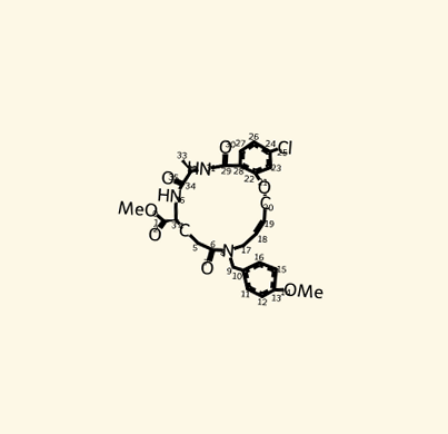 COC(=O)[C@@H]1CCC(=O)N(Cc2ccc(OC)cc2)C/C=C\COc2cc(Cl)ccc2C(=O)N[C@H](C)C(=O)N1